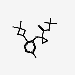 Cc1ccc(C2CC(F)(F)C2)c(OC2(C(=O)OC(C)(C)C)CC2)c1